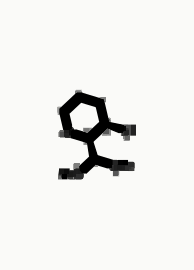 COC(OC)[C@H]1OCCC[C@H]1S